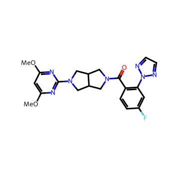 COc1cc(OC)nc(N2CC3CN(C(=O)c4ccc(F)cc4-n4nccn4)CC3C2)n1